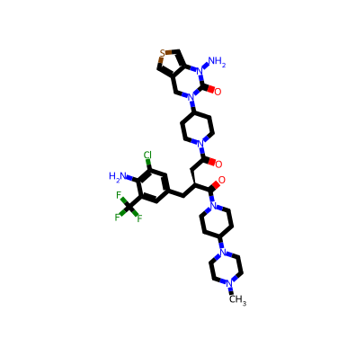 CN1CCN(C2CCN(C(=O)[C@H](CC(=O)N3CCC(N4Cc5cscc5N(N)C4=O)CC3)Cc3cc(Cl)c(N)c(C(F)(F)F)c3)CC2)CC1